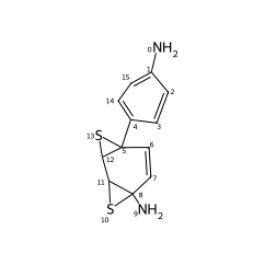 Nc1ccc(C23C=CC4(N)SC4C2S3)cc1